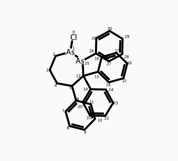 Cl[As]1CCCC(c2ccccc2)C(c2ccccc2)(c2ccccc2)[As]1c1ccccc1